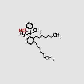 CCCCCCCc1cccc(C(C)(CC)c2ccccc2O)c1CCCCCCC